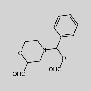 O=COC(c1ccccc1)N1CCOC(C=O)C1